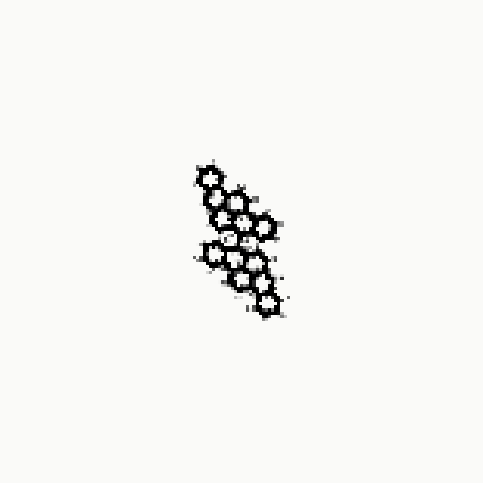 c1ccc2c(c1)cc1ccc3c(-c4c5ccccc5c5ccc6c7ccccc7cc7ccc4c5c76)c4ccccc4c4ccc2c1c34